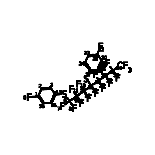 Fc1ccc(SC(F)(F)C(F)(F)C(F)(F)C(F)(Sc2ccc(F)cc2)C(F)(F)C(F)(F)C(F)(F)C(F)(F)F)cc1